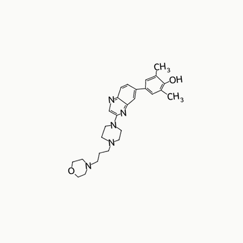 Cc1cc(-c2ccc3ncc(N4CCN(CCCN5CCOCC5)CC4)nc3c2)cc(C)c1O